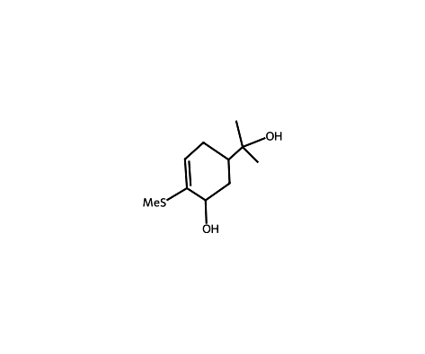 [CH2]SC1=CCC(C(C)(C)O)CC1O